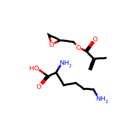 C=C(C)C(=O)OCC1CO1.NCCCCC(N)C(=O)O